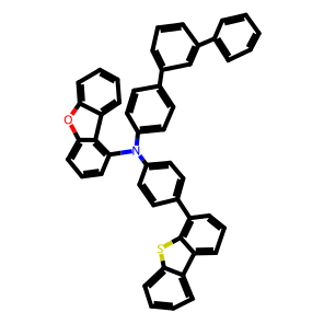 c1ccc(-c2cccc(-c3ccc(N(c4ccc(-c5cccc6c5sc5ccccc56)cc4)c4cccc5oc6ccccc6c45)cc3)c2)cc1